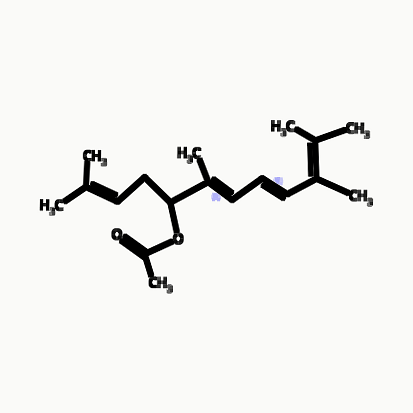 CC(=O)OC(CC=C(C)C)/C(C)=C/C=C/C(C)=C(C)C